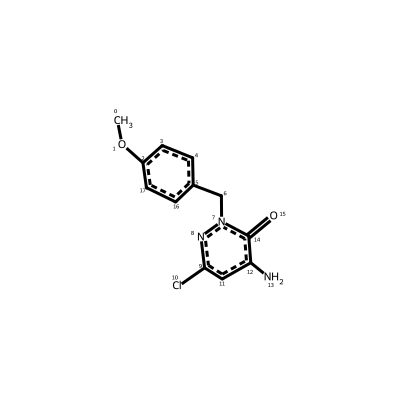 COc1ccc(Cn2nc(Cl)cc(N)c2=O)cc1